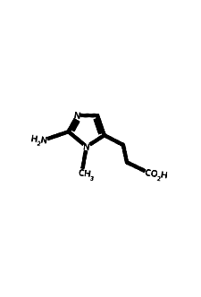 Cn1c(CCC(=O)O)cnc1N